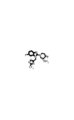 N[C@@H]1CN(c2nc3ccc(F)cc3n2Cc2nc(C(F)(F)F)no2)CC[C@H]1F